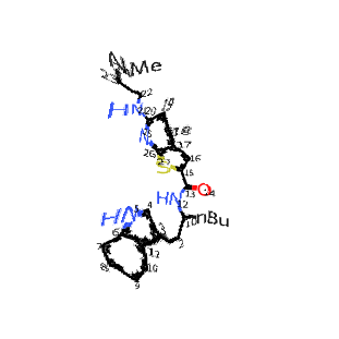 CCCCC(Cc1c[nH]c2ccccc12)NC(=O)c1cc2ccc(NCCNC)nc2s1